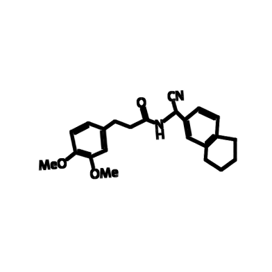 COc1ccc(CCC(=O)NC(C#N)c2ccc3c(c2)CCCC3)cc1OC